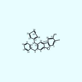 Cc1cc2oc3cc(Cc4ccccc4)c(Cc4ccccc4)cc3c2cc1C